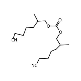 CC(CCCCC#N)COC(=O)OCC(C)CCCCC#N